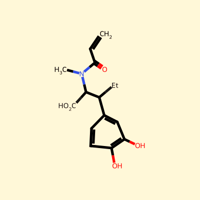 C=CC(=O)N(C)C(C(=O)O)C(CC)c1ccc(O)c(O)c1